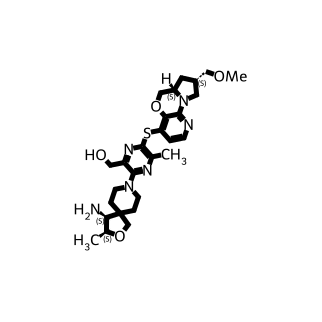 COC[C@H]1C[C@H]2COc3c(Sc4nc(CO)c(N5CCC6(CC5)CO[C@@H](C)[C@H]6N)nc4C)ccnc3N2C1